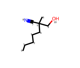 CCCCCC(C)(C#N)CO